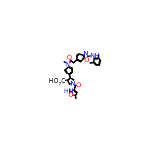 Cc1cccc(C)c1Nc1nc2ccc(CC(=O)N(C)c3ccc(C4CN(C(=O)C5=CC(C)ON5)CC4C(=O)O)cc3)cc2o1